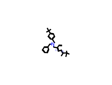 C=C/C(=C\C=C(/C)C(C)(C)C)CN(Cc1ccccc1)Cc1ccc(C(C)(C)C)cc1